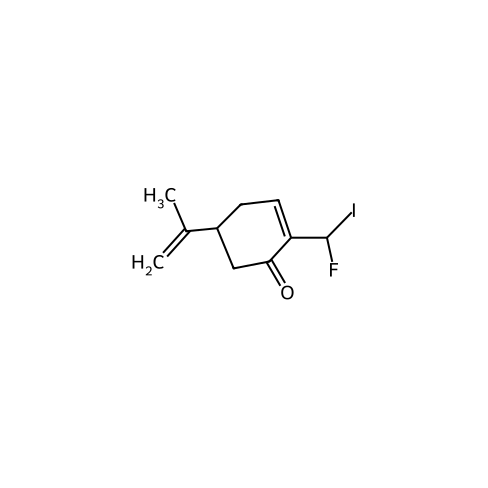 C=C(C)C1CC=C(C(F)I)C(=O)C1